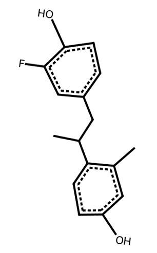 Cc1cc(O)ccc1C(C)Cc1ccc(O)c(F)c1